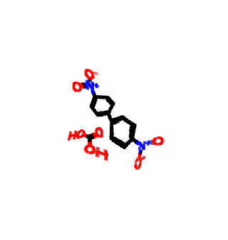 O=C(O)O.O=[N+]([O-])c1ccc(-c2ccc([N+](=O)[O-])cc2)cc1